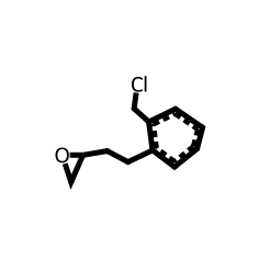 ClCc1ccccc1CCC1CO1